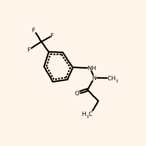 CCC(=O)N(C)Nc1cccc(C(F)(F)F)c1